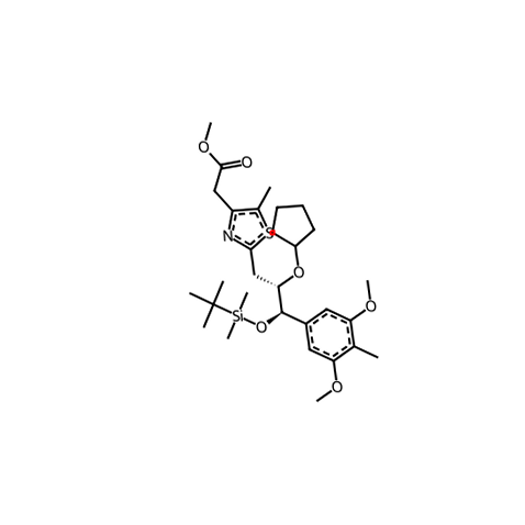 COC(=O)Cc1nc(C[C@H](OC2CCCC2)[C@H](O[Si](C)(C)C(C)(C)C)c2cc(OC)c(C)c(OC)c2)sc1C